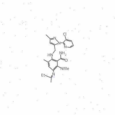 CC/C(C)=N\c1cc(C)c(NCc2cc(C)nn2-c2ncccc2Cl)c(C(N)=O)c1NC